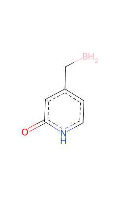 BCc1cc[nH]c(=O)c1